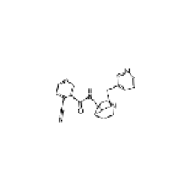 N#Cc1ccccc1C(=O)NC1C2CCN(CC2)C1Cc1cccnc1